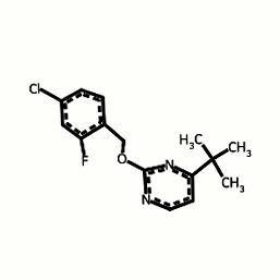 CC(C)(C)c1ccnc(OCc2ccc(Cl)cc2F)n1